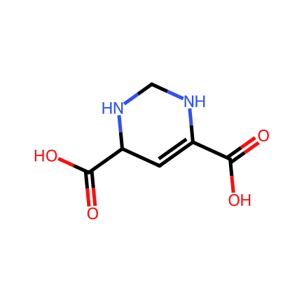 O=C(O)C1=CC(C(=O)O)NCN1